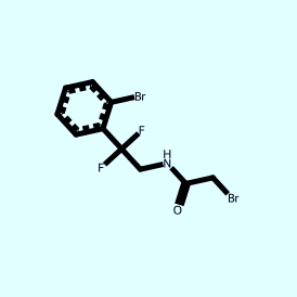 O=C(CBr)NCC(F)(F)c1ccccc1Br